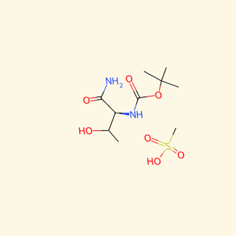 CC(O)[C@H](NC(=O)OC(C)(C)C)C(N)=O.CS(=O)(=O)O